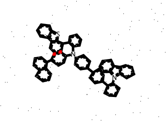 c1ccc(N(c2ccc(-c3ccc(-c4ccccc4-n4c5ccccc5c5ccccc54)cc3)cc2)c2ccc(-c3cccc4ccccc34)cc2)c(-c2cccc3c2sc2ccccc23)c1